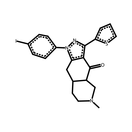 CN1CCC2Cc3c(c(-c4cccs4)nn3-c3ccc(I)cc3)C(=O)C2C1